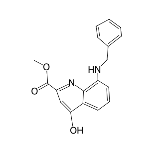 COC(=O)c1cc(O)c2cccc(NCc3ccccc3)c2n1